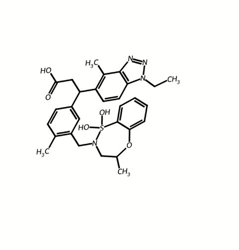 CCn1nnc2c(C)c(C(CC(=O)O)c3ccc(C)c(CN4CC(C)Oc5ccccc5S4(O)O)c3)ccc21